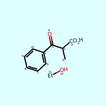 CC(C(=O)O)C(=O)c1ccccc1.CCO